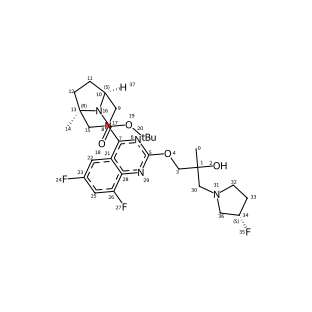 CC(O)(COc1nc(N2C[C@@H]3CC[C@](C)(C2)N3C(=O)OC(C)(C)C)c2cc(F)cc(F)c2n1)CN1CC[C@H](F)C1